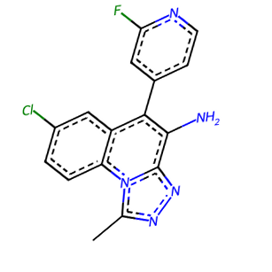 Cc1nnc2c(N)c(-c3ccnc(F)c3)c3cc(Cl)ccc3n12